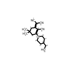 CC1(C)CC(=C(C#N)C#N)C(C#N)=C(N2CCC(CO)CC2)C1